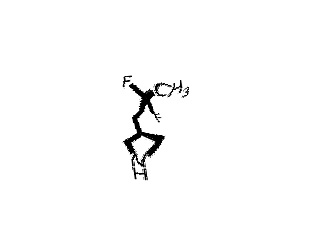 CC(F)(F)CC1CNC1